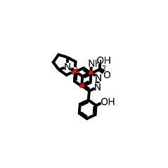 Nc1nnc(-c2ccccc2O)cc1N1CC2CCC(C1)N2c1cccc(C(=O)O)c1